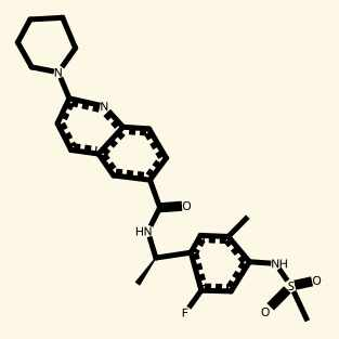 Cc1cc([C@@H](C)NC(=O)c2ccc3nc(N4CCCCC4)ccc3c2)c(F)cc1NS(C)(=O)=O